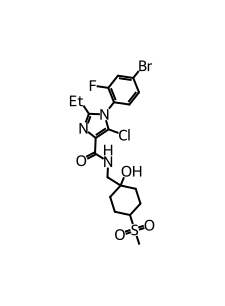 CCc1nc(C(=O)NCC2(O)CCC(S(C)(=O)=O)CC2)c(Cl)n1-c1ccc(Br)cc1F